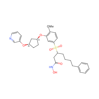 COc1ccc(S(=O)(=O)C(CCCCc2ccccc2)CC(=O)NO)cc1O[C@H]1CC[C@@H](Oc2cccnc2)C1